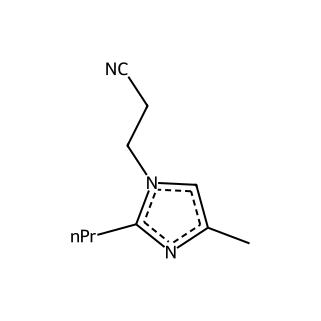 CCCc1nc(C)cn1CCC#N